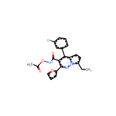 CCc1ccc2c(-c3cccc(Cl)c3)c(C(=O)NOC(C)=O)c(-c3ccco3)nn12